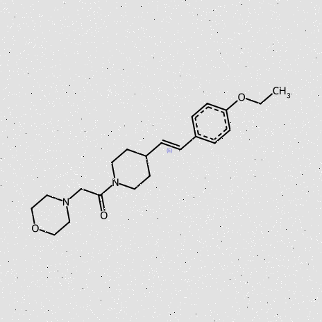 CCOc1ccc(/C=C/C2CCN(C(=O)CN3CCOCC3)CC2)cc1